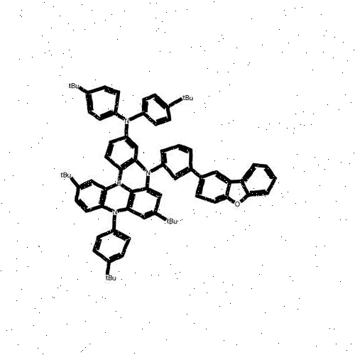 CC(C)(C)c1ccc(N(c2ccc(C(C)(C)C)cc2)c2ccc3c(c2)N(c2cccc(-c4ccc5oc6ccccc6c5c4)c2)c2cc(C(C)(C)C)cc4c2B3c2cc(C(C)(C)C)ccc2N4c2ccc(C(C)(C)C)cc2)cc1